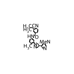 CNc1ccncc1C1C=NN(c2cc(NC(=O)c3cccc(C(C)(C)C#N)c3)ccc2C)C1